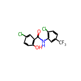 O=C(Nc1cc(C(F)(F)F)ccc1Cl)c1cc(Cl)ccc1O